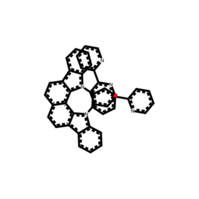 c1ccc(-n2c3ccccc3c3ccc4ccc5c6ccccc6n(-c6cc(-c7ccccn7)nc(-c7ccccn7)c6)c5c4c32)cc1